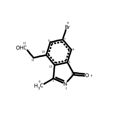 CC1=NC(=O)c2cc(Br)cc(CC=O)c21